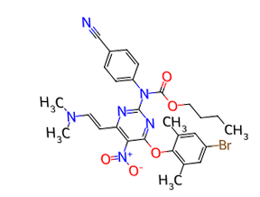 CCCCOC(=O)N(c1ccc(C#N)cc1)c1nc(C=CN(C)C)c([N+](=O)[O-])c(Oc2c(C)cc(Br)cc2C)n1